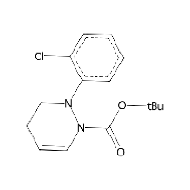 CC(C)(C)OC(=O)N1C=CCCN1c1ccccc1Cl